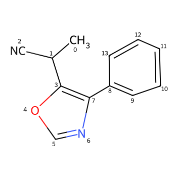 CC(C#N)c1ocnc1-c1ccccc1